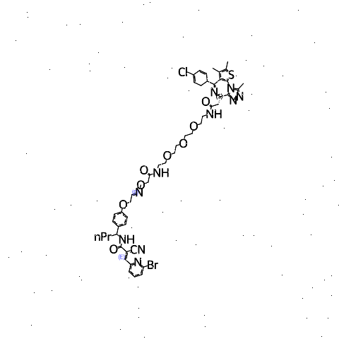 CCCC(NC(=O)/C(C#N)=C/c1cccc(Br)n1)c1ccc(OC/C=N/OCC(=O)NCCOCCOCCOCCNC(=O)C[C@@H]2N=C(C3C=CC(Cl)=CC3)c3c(sc(C)c3C)-n3c(C)nnc32)cc1